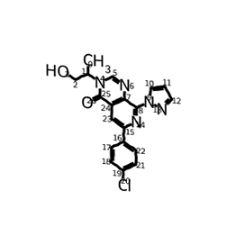 CC(CO)n1cnc2c(-n3cccn3)nc(-c3ccc(Cl)cc3)cc2c1=O